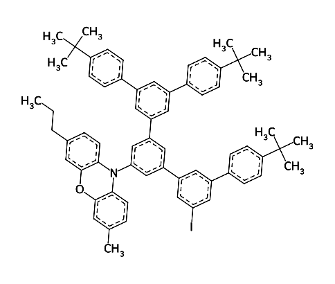 CCCc1ccc2c(c1)Oc1cc(C)ccc1N2c1cc(-c2cc(I)cc(-c3ccc(C(C)(C)C)cc3)c2)cc(-c2cc(-c3ccc(C(C)(C)C)cc3)cc(-c3ccc(C(C)(C)C)cc3)c2)c1